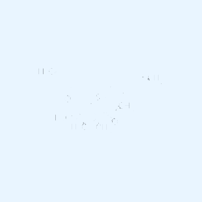 C=CCCC/C=C1/SCC(/C(C)=C(/C)COCCCC)=C(C)C(=O)C1C